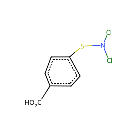 O=C(O)c1ccc(SN(Cl)Cl)cc1